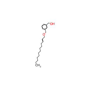 CCCCCCCCCCC=CCOCc1cccc(CO)c1